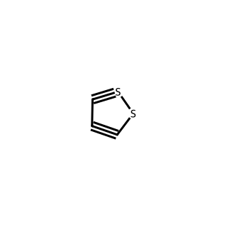 C1#CSS#C1